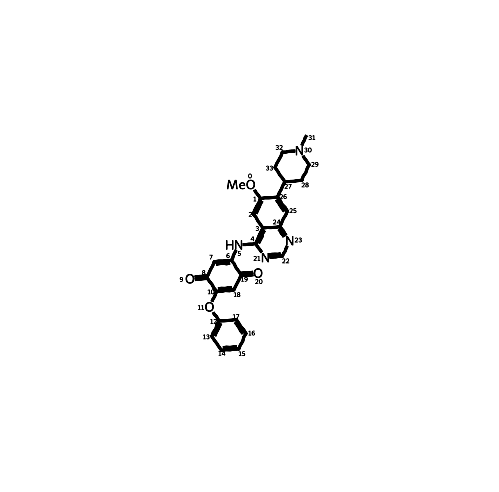 COc1cc2c(NC3=CC(=O)C(Oc4ccccc4)=CC3=O)ncnc2cc1C1CCN(C)CC1